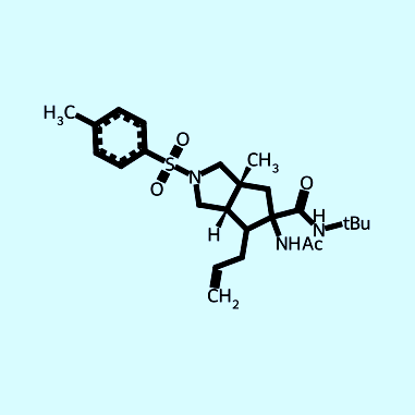 C=CCC1[C@@H]2CN(S(=O)(=O)c3ccc(C)cc3)C[C@]2(C)CC1(NC(C)=O)C(=O)NC(C)(C)C